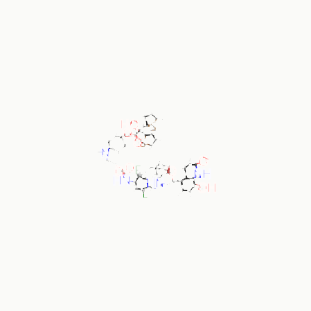 CN(CCOC(=O)Nc1cc(F)c(CNC[C@H](O[Si](C)(C)C(C)(C)C)c2ccc(O)c3[nH]c(=O)ccc23)cc1F)[C@H]1CC[C@H](OC(=O)C(O)(c2cccs2)c2cccs2)CC1